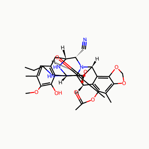 CCCN[C@H]1CS[C@@H]2c3c(OC(C)=O)c(C)c4c(c3[C@H](COC1=O)N1C2[C@H]2N[C@H](Cc3cc(C)c(OC)c(O)c32)[C@@H]1C#N)OCO4